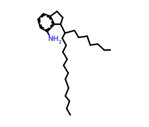 CCCCCCCCCCCCC(CCCCCCC)C1CCc2cccc(N)c21